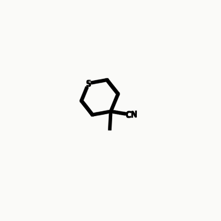 CC1(C#N)CCSCC1